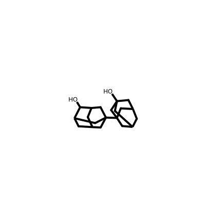 OC1C2CC3CC1CC(C14CC5CC(CC(O)(C5)C1)C4)(C3)C2